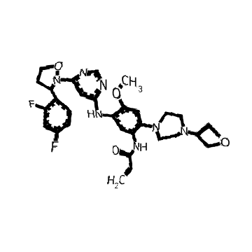 C=CC(=O)Nc1cc(Nc2cc(N3OCCC3c3ccc(F)cc3F)ncn2)c(OC)cc1N1CCN(C2COC2)CC1